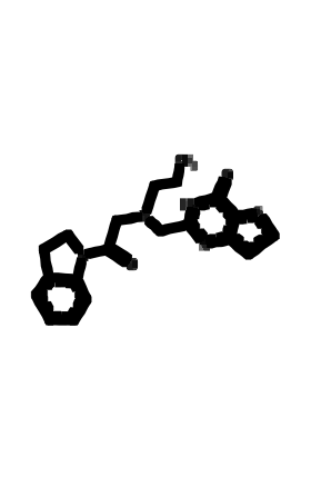 CCCN(CC(=O)N1CCc2ccccc21)Cc1nc2ccsc2c(=O)[nH]1